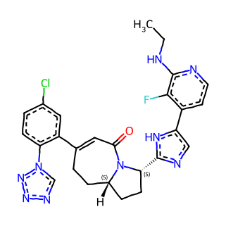 CCNc1nccc(-c2cnc([C@@H]3CC[C@@H]4CCC(c5cc(Cl)ccc5-n5cnnn5)=CC(=O)N43)[nH]2)c1F